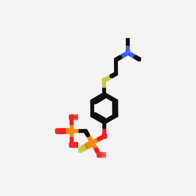 CN(C)CCSc1ccc(OP(O)(=S)CP(=O)(O)O)cc1